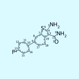 NC(=O)c1c(N)sc2cc(-c3ccc(F)cc3)ccc12